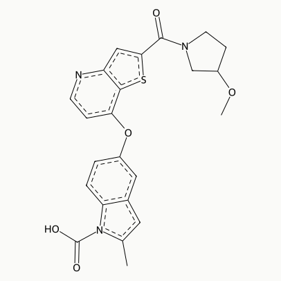 COC1CCN(C(=O)c2cc3nccc(Oc4ccc5c(c4)cc(C)n5C(=O)O)c3s2)C1